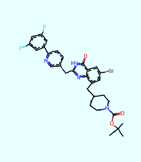 CC(C)(C)OC(=O)N1CCC(Cc2cc(Br)cc3c(=O)[nH]c(Cc4ccc(-c5cc(F)cc(F)c5)nc4)nc23)CC1